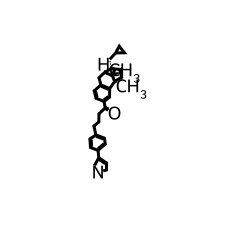 C[C@H]1[C@H]2Cc3ccc(C(=O)CCCc4ccc(C5=CCN=C5)cc4)cc3[C@@]1(C)CC[C@H]2CC1CC1